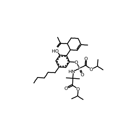 C=C(C)C1CCC(C)=CC1c1c(O)cc(CCCCC)cc1OP(=O)(NC(C)(C)C(=O)OC(C)C)C(=O)OC(C)C